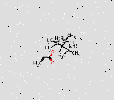 C=CC(=O)OCC([Si](C)(C)C)([Si](C)(C)C)[Si](C)(C)C